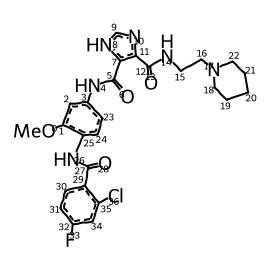 COc1cc(NC(=O)c2[nH]cnc2C(=O)NCCN2CCCCC2)ccc1NC(=O)c1ccc(F)cc1Cl